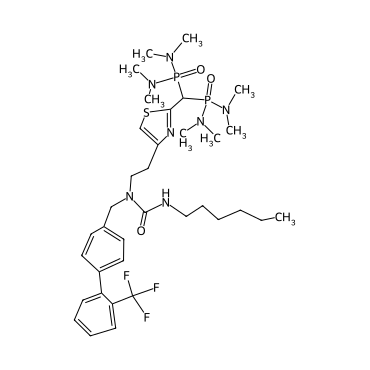 CCCCCCNC(=O)N(CCc1csc(C(P(=O)(N(C)C)N(C)C)P(=O)(N(C)C)N(C)C)n1)Cc1ccc(-c2ccccc2C(F)(F)F)cc1